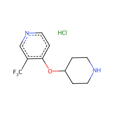 Cl.FC(F)(F)c1cnccc1OC1CCNCC1